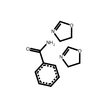 C1=NCCO1.C1=NCCO1.NC(=O)c1ccccc1